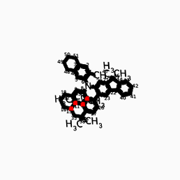 Cc1cc2c(cc1N(c1cc3c(cc1C)CCCC3)c1cc3c(cc1-c1ccc4c(c1)C(C)(C)CCC4(C)C)-c1ccccc1C3(C)C)CCCC2